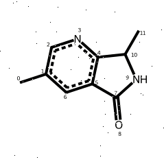 Cc1cnc2c(c1)C(=O)NC2C